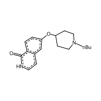 CCCCN1CCC(Oc2ccc3c(=O)[nH]ccc3c2)CC1